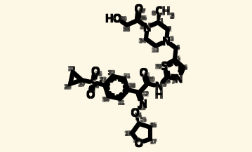 C[C@H]1CN(Cc2cnc(NC(=O)/C(=N/O[C@@H]3CCOC3)c3ccc(S(=O)(=O)C4CC4)cc3)s2)CCN1C(=O)CO